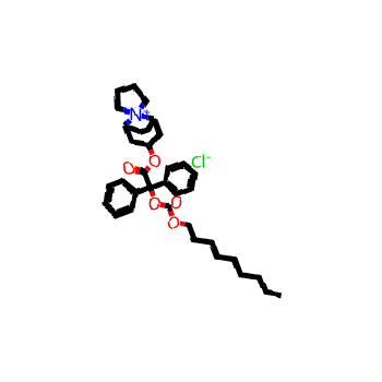 CCCCCCCCCOC(=O)OC(C(=O)OC1CC2CCC(C1)[N+]21CCCC1)(c1ccccc1)c1ccccc1.[Cl-]